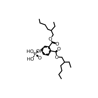 CCCCC(CC)COC(=O)c1ccccc1C(=O)OCC(CC)CCCC.O=P(O)(O)O